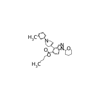 CCCCOC(=O)c1ccc2c(cnn2C2CCCCO2)c1C1=CCN(c2cccc(C)c2)CC1